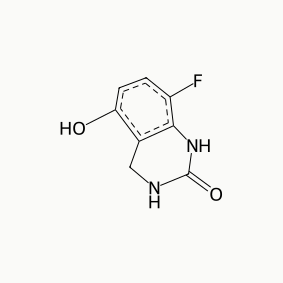 O=C1NCc2c(O)ccc(F)c2N1